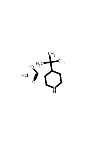 CC(C)(C)C1CCNCC1.Cl.O=CO